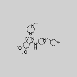 C#C/C=C(\C=C/C)CN1CCC(Nc2nc(N3CCCN(CC)CC3)nc3cc(OC)c(OC)cc23)CC1